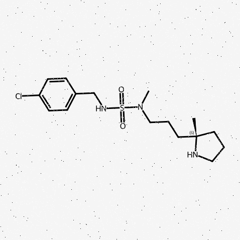 CN(CCC[C@]1(C)CCCN1)S(=O)(=O)NCc1ccc(Cl)cc1